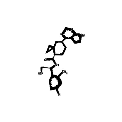 Cc1cc(F)ccc1[C@H](CO)NC(=O)[C@H]1CCN(c2ncnc3[nH]ccc23)CC12CC2